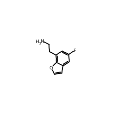 NCCc1cc(F)cc2ccoc12